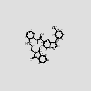 O=C(Nc1ccccc1NCCN1C(=O)c2ccccc2C1=O)c1ccn2ncc(-c3cccc(Cl)c3)c2n1